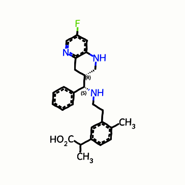 Cc1ccc(C(C)C(=O)O)cc1CCN[C@H](c1ccccc1)[C@H]1CNc2cc(F)cnc2C1